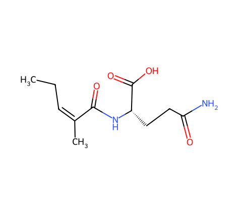 CCC=C(C)C(=O)N[C@@H](CCC(N)=O)C(=O)O